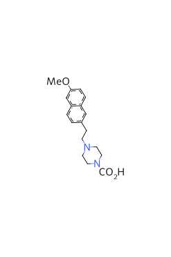 COc1ccc2cc(CCN3CCN(C(=O)O)CC3)ccc2c1